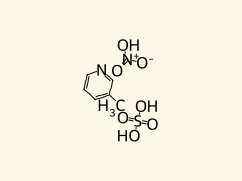 Cc1cccnc1.O=S(=O)(O)O.O=[N+]([O-])O